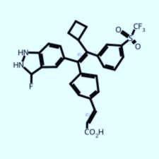 O=C(O)/C=C/c1ccc(/C(=C(\c2cccc(S(=O)(=O)C(F)(F)F)c2)C2CCC2)c2ccc3c(c2)C(F)NN3)cc1